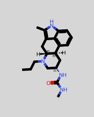 CCCN1C[C@@H](NC(=O)NC)C[C@@H]2c3cccc4[nH]c(C)c(c34)C[C@H]21